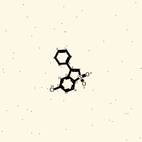 O=S1(=O)C=C(C2=CC=CCC2)c2cc(Cl)ccc21